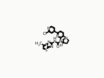 Cc1csc2nc(NC(=O)N3c4nc(-c5ccnc(Cl)c5)ccc4N4CC[C@H]3C4)nn12